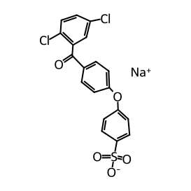 O=C(c1ccc(Oc2ccc(S(=O)(=O)[O-])cc2)cc1)c1cc(Cl)ccc1Cl.[Na+]